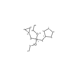 CCO[Si](CC1CCCC1)(CC1CC1)OCC